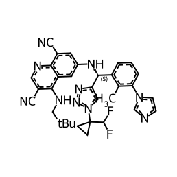 Cc1c([C@H](Nc2cc(C#N)c3ncc(C#N)c(NCC(C)(C)C)c3c2)c2cn(C3(C(F)F)CC3)nn2)cccc1-n1ccnc1